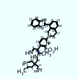 C=CCC(CN/C(C)=C(\C=N)c1ccc(N2CCc3cccc(-c4nc5ccccc5s4)c3C2)nc1C(=O)O)(CC(C)C)CC(C)C